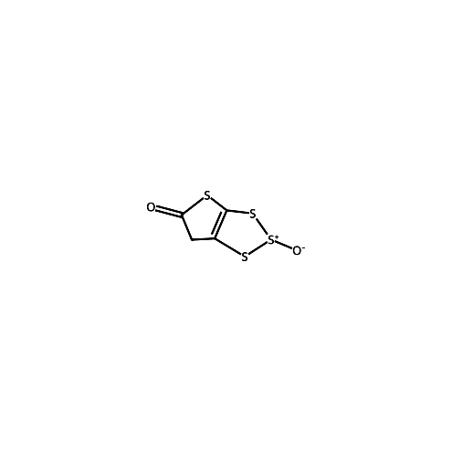 O=C1CC2=C(S1)S[S+]([O-])S2